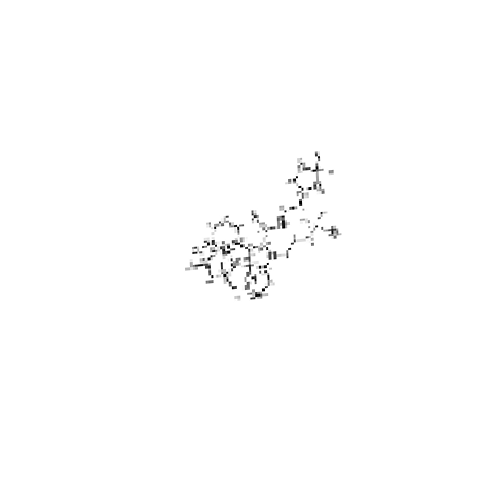 CC(C)(C)C[C@@H]1N(CCO[Si](C)(C)C(C)(C)C)[C@@H](C(=O)NCC[C@H]2COC(C)(C)O2)[C@H](c2cccc(Cl)c2F)[C@@]1(C#N)c1ccc(Cl)cc1F